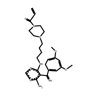 C=CC(=O)N1CCN(CCCCNc2ncnc(N)c2C(=N)C2=CC(OC)=CC(OC)=CC2)CC1